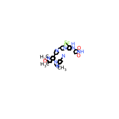 Cc1cc2c(N3CCN(C)c4ccc(C#N)cc43)cc(C3CCN(CC4CCN(c5ccc(NC6CCC(=O)NC6=O)cc5C(F)(F)F)CC4)CC3)cc2n(C)c1=O